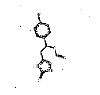 O=COC(Cc1n[nH]c(=O)[nH]1)c1ccc(Br)cc1